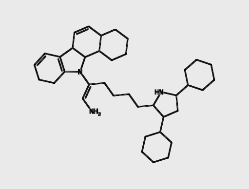 N/C=C(\CCCCC1NC(C2CCCCC2)CC1C1CCCCC1)N1C2=C(C=CCC2)C2C=CC3CCCCC3C21